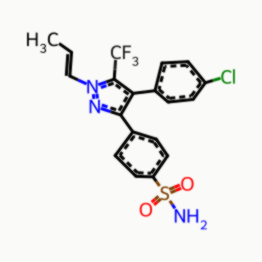 CC=Cn1nc(-c2ccc(S(N)(=O)=O)cc2)c(-c2ccc(Cl)cc2)c1C(F)(F)F